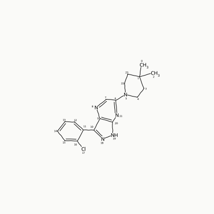 CC1(C)CCN(c2cnc3c(-c4ccccc4Cl)n[nH]c3n2)CC1